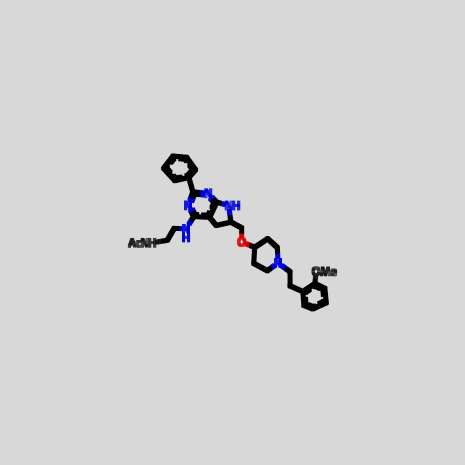 COc1ccccc1CCN1CCC(OCC2Cc3c(NCCNC(C)=O)nc(-c4ccccc4)nc3N2)CC1